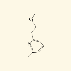 COCCc1cccc(C)n1